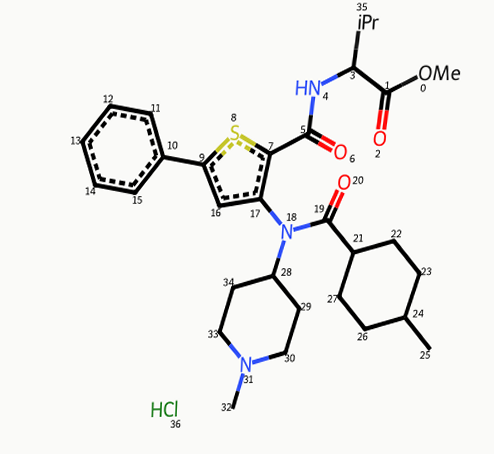 COC(=O)C(NC(=O)c1sc(-c2ccccc2)cc1N(C(=O)C1CCC(C)CC1)C1CCN(C)CC1)C(C)C.Cl